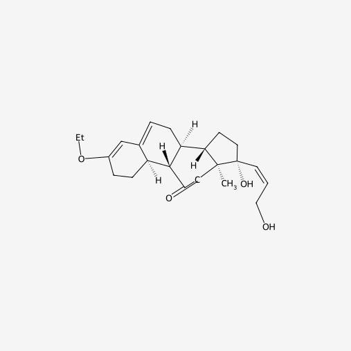 CCOC1=CC2=CC[C@@H]3[C@H](C(=O)C[C@@]4(C)[C@H]3CC[C@@]4(O)/C=C\CO)[C@H]2CC1